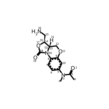 CC(=O)N(C)c1ccc2c(c1)OC[C@H]1[C@H](CN)OC(=O)N21